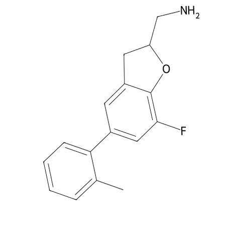 Cc1ccccc1-c1cc(F)c2c(c1)CC(CN)O2